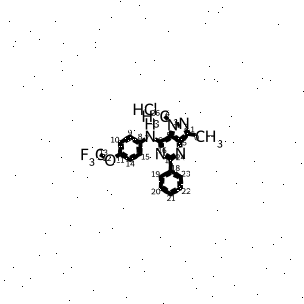 Cc1nn(C)c2c(Nc3ccc(OC(F)(F)F)cc3)nc(-c3ccccc3)nc12.Cl